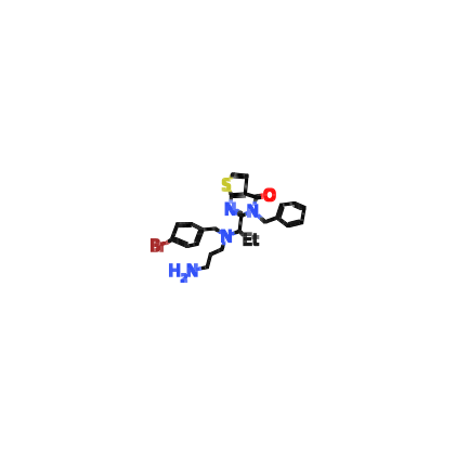 CCC(c1nc2sccc2c(=O)n1Cc1ccccc1)N(CCCN)Cc1ccc(Br)cc1